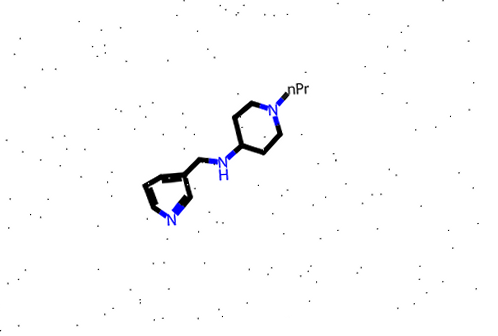 CCCN1CCC(NCc2cccnc2)CC1